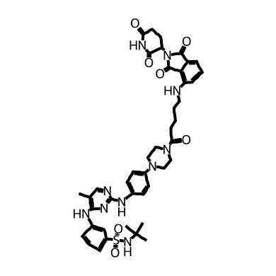 Cc1cnc(Nc2ccc(N3CCN(C(=O)CCCCNc4cccc5c4C(=O)N(C4CCC(=O)NC4=O)C5=O)CC3)cc2)nc1Nc1cccc(S(=O)(=O)NC(C)(C)C)c1